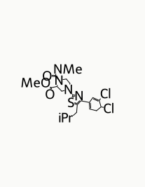 CNC(=O)N1CCN(c2nc(C3=CCC(Cl)C(Cl)=C3)c(CC(C)C)s2)CC1C(=O)OC